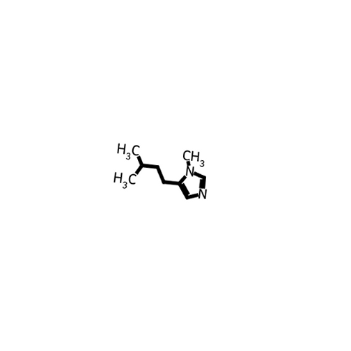 CC(C)CCc1cncn1C